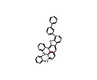 c1ccc(-c2cccc(-c3cccc4c3sc3c(-c5ccccc5B5c6ccccc6Oc6ccccc65)cccc34)c2)cc1